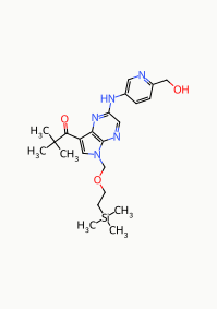 CC(C)(C)C(=O)c1cn(COCC[Si](C)(C)C)c2ncc(Nc3ccc(CO)nc3)nc12